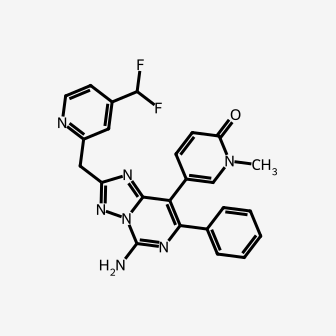 Cn1cc(-c2c(-c3ccccc3)nc(N)n3nc(Cc4cc(C(F)F)ccn4)nc23)ccc1=O